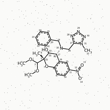 COC(OC)[C@@]1(C)Oc2ccc([N+](=O)[O-])cc2[C@@H](N(Cc2ccccc2)Cc2nnnn2C)[C@@H]1O